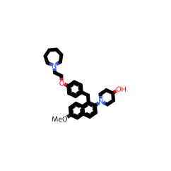 COc1ccc2c(Cc3ccc(OCCN4CCCCCC4)cc3)c(N3CCC(O)CC3)ccc2c1